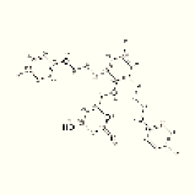 Cc1ccc(OCCCc2cc(C)cc(CCCOc3ccc(C)cc3)c2OCC2CC(O)CC(=O)O2)cc1